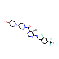 Cc1c(NCc2ccc(C(F)(F)F)cc2F)ncnc1C(=O)N1CCC(N2CCC(O)CC2)CC1